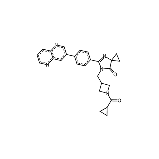 O=C(C1CC1)N1CC(CN2C(=O)C3(CC3)N=C2c2ccc(-c3cnc4cccnc4c3)cc2)C1